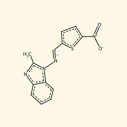 Cc1nc2ccccc2n1/N=C/c1ccc([N+](=O)[O-])s1